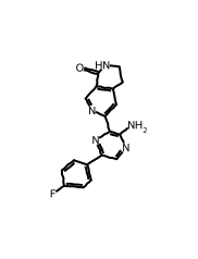 Nc1ncc(-c2ccc(F)cc2)nc1-c1cc2c(cn1)C(=O)NCC2